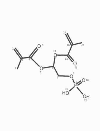 C=C(C)C(=O)OC(COP(=O)(O)O)OC(=O)C(=C)C